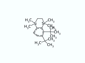 CC(C)(C)c1ccc2c(c1C(C)(C)C)[Si](C)(C)CC[Si]2(C)C